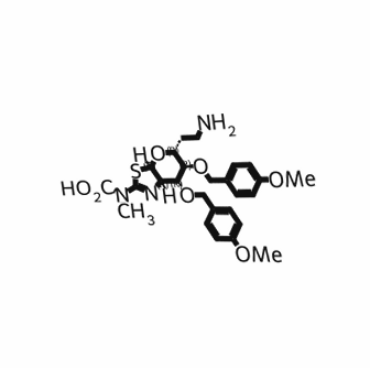 COc1ccc(CO[C@@H]2[C@H]3N=C(N(C)C(=O)O)S[C@H]3O[C@H](CCN)[C@H]2OCc2ccc(OC)cc2)cc1